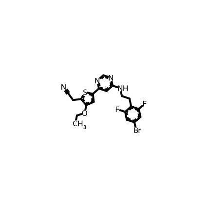 CCOc1cc(-c2cc(NCCc3c(F)cc(Br)cc3F)ncn2)sc1CC#N